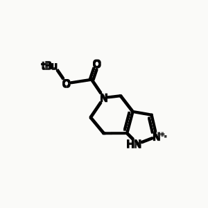 CC(C)(C)OC(=O)N1CCC2=C(C=[N+]N2)C1